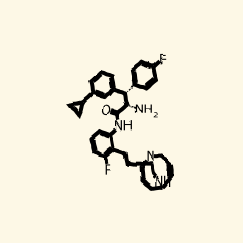 N[C@H](C(=O)Nc1cccc(F)c1CCC1CNC2C#CCN1CCC2)[C@@H](c1ccc(F)cc1)c1cccc(C2CC2)c1